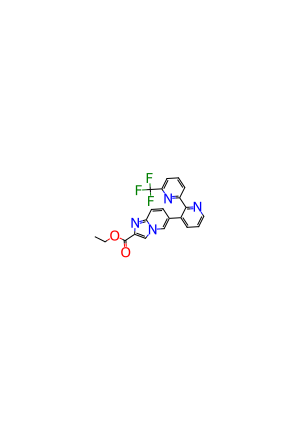 CCOC(=O)c1cn2cc(-c3cccnc3-c3cccc(C(F)(F)F)n3)ccc2n1